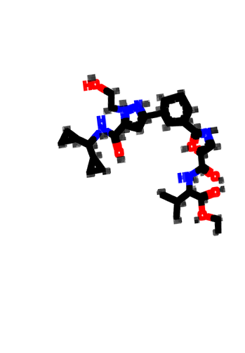 CCOC(=O)C(NC(=O)c1cnc(-c2cccc(-c3cc(C(=O)NC(C4CC4)C4CC4)n(CCO)n3)c2)o1)C(C)C